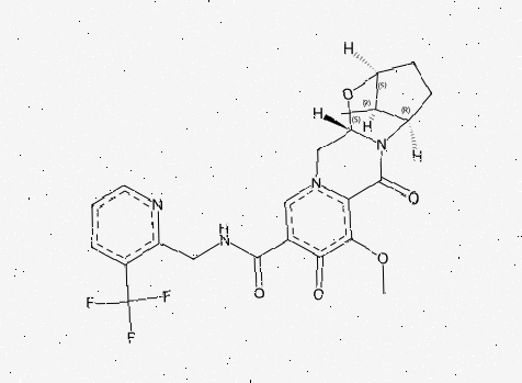 COc1c2n(cc(C(=O)NCc3ncccc3C(F)(F)F)c1=O)C[C@@H]1O[C@H]3CC[C@H]([C@H]3C)N1C2=O